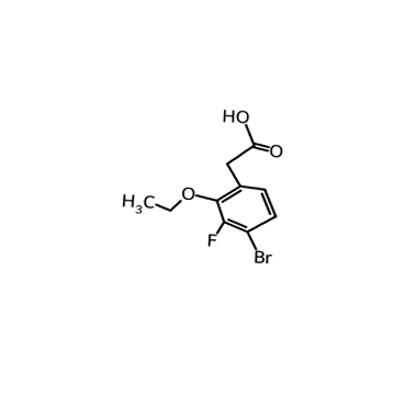 CCOc1c(CC(=O)O)ccc(Br)c1F